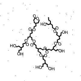 CCCC(CCO)CCC(=O)OCCC(CCO)CCC(=O)OCCC(CCO)CCC(=O)OCCC(CCOC(=O)CCC(CCO)CCO)CCC(=O)OCCC(CCOC(=O)CCC(CCO)CCO)CCC(=O)OCCC1CCOC(=O)CC1